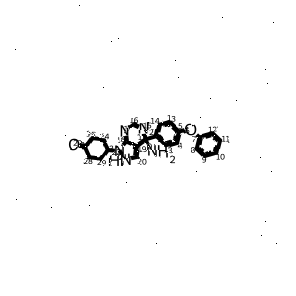 NC1(c2ccc(Oc3ccccc3)cc2)N=CN=C2C1=CNN2C1CCC(=O)CC1